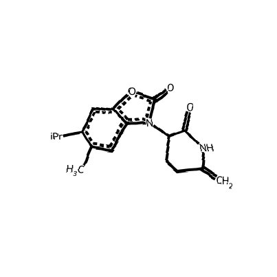 C=C1CCC(n2c(=O)oc3cc(C(C)C)c(C)cc32)C(=O)N1